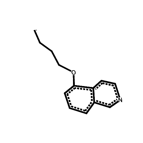 [CH2]CCCOc1cccc2cnccc12